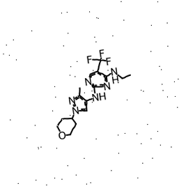 CCNc1nc(Nc2cn(C3CCOCC3)nc2C)ncc1C(F)(F)F